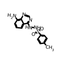 Cc1ccc(S(=O)(=O)NNc2ncnc3c(N)cccc23)cc1